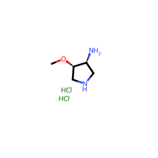 CO[C@@H]1CNC[C@@H]1N.Cl.Cl